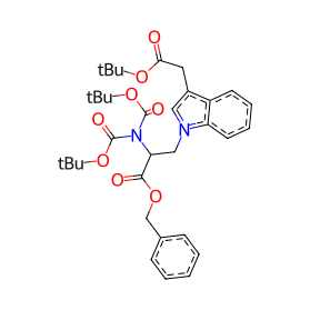 CC(C)(C)OC(=O)Cc1cn(CC(C(=O)OCc2ccccc2)N(C(=O)OC(C)(C)C)C(=O)OC(C)(C)C)c2ccccc12